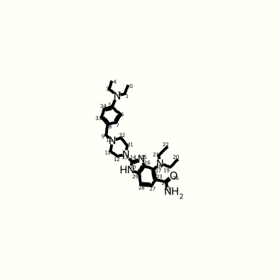 CCN(CC)c1ccc(CN2CCN(c3nc4c(N(CC)CC)c(C(N)=O)ccc4[nH]3)CC2)cc1